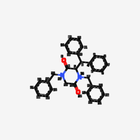 O=C1C(C(c2ccccc2)c2ccccc2)N(Cc2ccccc2)C(=O)CN1Cc1ccccc1